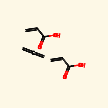 C=C=C.C=CC(=O)O.C=CC(=O)O